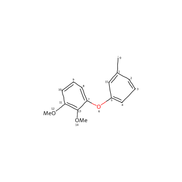 [CH2]c1cccc(Oc2cccc(OC)c2OC)c1